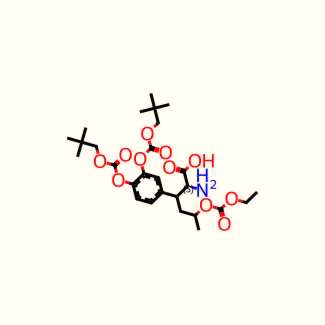 CCOC(=O)OC(C)CC(c1ccc(OC(=O)OCC(C)(C)C)c(OC(=O)OCC(C)(C)C)c1)[C@H](N)C(=O)O